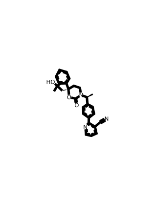 C[C@@H](c1ccc(-c2ncccc2C#N)cc1)N1CC[C@](CC(C)(C)O)(c2ccccc2)OC1=O